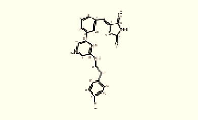 O=C1NC(=O)C(=Cc2cccc(-c3cncc(NCCc4ccc(F)cc4)n3)c2)S1